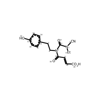 CCN(C#N)C(=O)N(CCc1ccc(O)cc1)C(=O)/C=C/C(=O)O